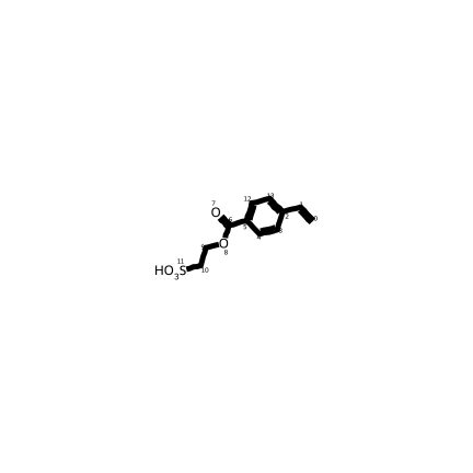 C=Cc1ccc(C(=O)OCCS(=O)(=O)O)cc1